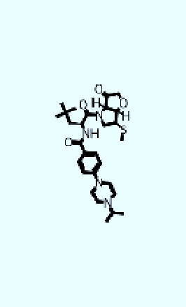 CS[C@H]1CN(C(=O)[C@H](CC(C)(C)C)NC(=O)c2ccc(N3CCN(C(C)C)CC3)cc2)[C@@H]2C(=O)CO[C@H]12